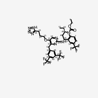 CCOC(=O)N1c2ccc(C(F)(F)F)cc2[C@@H](Nc2ncc(OCCCc3nnn[nH]3)c(Cc3cc(C(F)(F)F)cc(C(F)(F)F)c3)n2)C[C@H]1CC